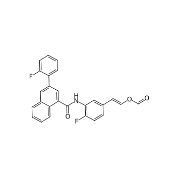 O=CO/C=C/c1ccc(F)c(NC(=O)c2cc(-c3ccccc3F)cc3ccccc23)c1